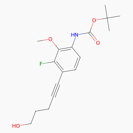 COc1c(NC(=O)OC(C)(C)C)ccc(C#CCCCO)c1F